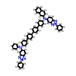 c1ccc(N(c2ccc(-c3ccc(-c4ccc(-c5ccc(N(c6ccc7ccccc7c6)c6ccc7nn(-c8ccccc8)nc7c6)cc5)cc4)cc3)cc2)c2ccc3nn(-c4ccccc4)nc3c2)cc1